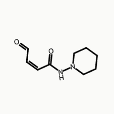 O=C/C=C\C(=O)NN1CCCCC1